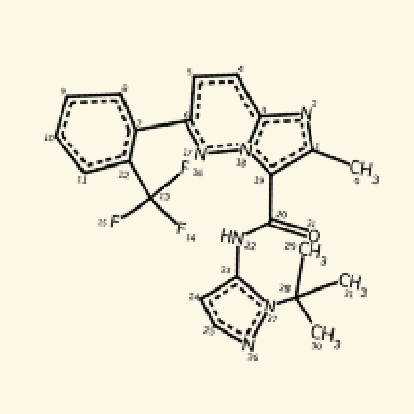 Cc1nc2ccc(-c3ccccc3C(F)(F)F)nn2c1C(=O)Nc1ccnn1C(C)(C)C